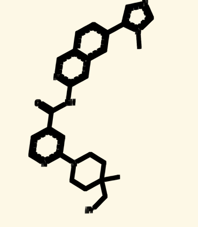 CC(C)CC1(C)CCN(c2cc(C(=O)Nc3cc4cc(-c5cncn5C)ccc4cn3)ccn2)CC1